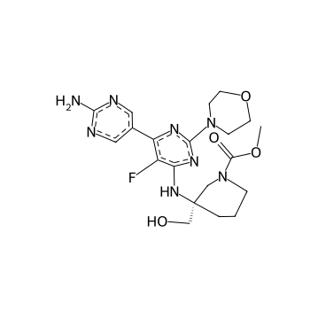 COC(=O)N1CCC[C@@](CO)(Nc2nc(N3CCOCC3)nc(-c3cnc(N)nc3)c2F)C1